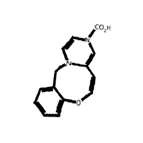 O=C(O)N1C=CN2Cc3ccccc3OC=CC2=C1